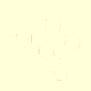 Cl.FC1(F)CCC(N2CCNCC2)CC1.O=C([C@@H]1CCCN1C(=O)O)N1CCN(C2CCC(F)(F)CC2)CC1